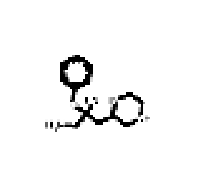 N#CC(CN)(CC1CNCCN1)Oc1ccccc1